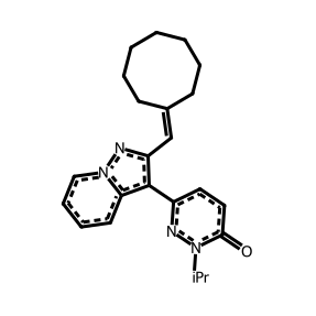 CC(C)n1nc(-c2c(C=C3CCCCCCC3)nn3ccccc23)ccc1=O